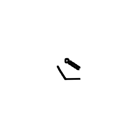 C=O.CCC